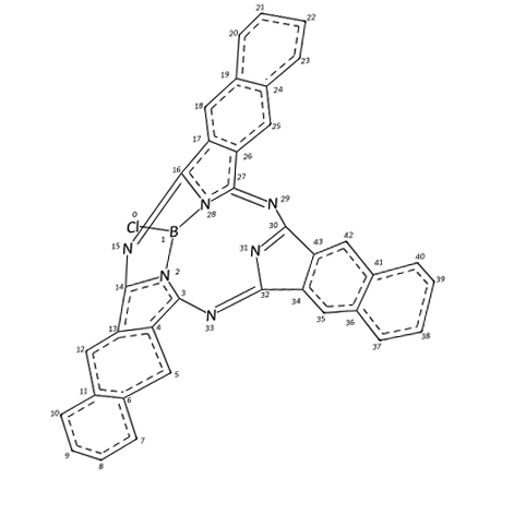 ClB1n2c3c4cc5ccccc5cc4c2N=c2c4cc5ccccc5cc4c(n21)=NC1=NC(=N3)c2cc3ccccc3cc21